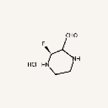 Cl.O=CC1NCCN[C@H]1F